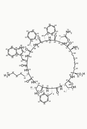 C[C@@H](O)[C@@H]1NC(=O)[C@H](Cc2ccccc2)NC(=O)[C@H]([C@@H](C)O)NC(=O)[C@H](CCCCN)NC(=O)[C@@H](Cc2c[nH]c3ccccc23)NC(=O)[C@H](Cc2ccccc2)NC(=O)[C@H](Cc2ccccc2)NC(=O)[C@H](CC(N)=O)NC(=O)[C@@H](N)CSSC[C@@H](C(=O)O)NC1=O